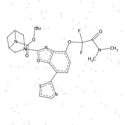 CN(C)C(=O)C(F)(F)Oc1ccc(-c2nccs2)c2oc(N3CC4CC(C3)N4C(=O)OC(C)(C)C)nc12